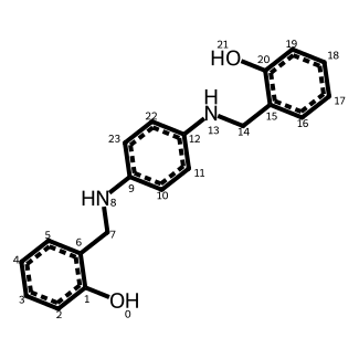 Oc1ccccc1CNc1ccc(NCc2ccccc2O)cc1